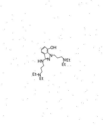 CCN(CC)CCCNc1nn(CCCN(CC)CC)c2c(O)cccc12